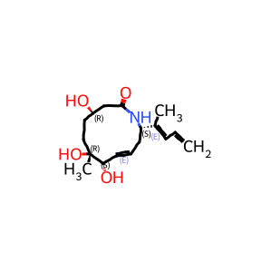 C=C/C=C(\C)[C@@H]1C/C=C/[C@H](O)[C@](C)(O)CC[C@@H](O)CC(=O)N1